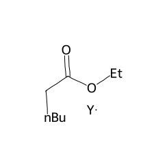 CCCCCC(=O)OCC.[Y]